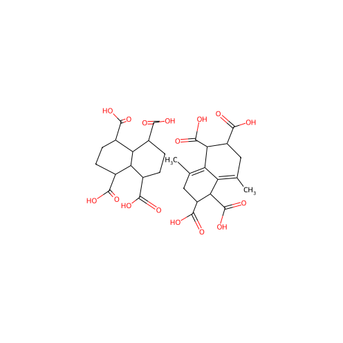 CC1=C2C(=C(C)CC(C(=O)O)C2C(=O)O)C(C(=O)O)C(C(=O)O)C1.O=C(O)C1CCC(C(=O)O)C2C(C(=O)O)CCC(C(=O)O)C12